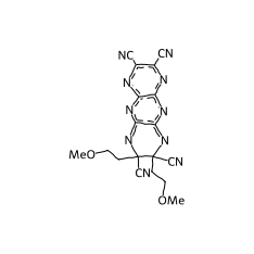 COCCC1(C#N)N=c2nc3nc(C#N)c(C#N)nc3nc2=NC1(C#N)CCOC